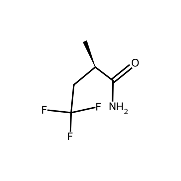 C[C@H](CC(F)(F)F)C(N)=O